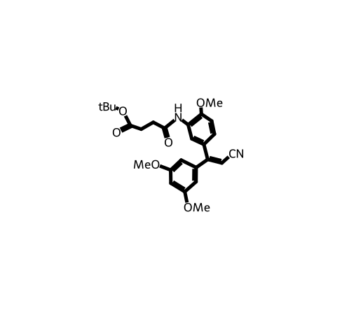 COc1cc(OC)cc(C(=CC#N)c2ccc(OC)c(NC(=O)CCC(=O)OC(C)(C)C)c2)c1